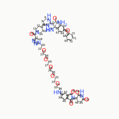 N=C(/C(C(N)=O)=C1/NCC[C@@H](C2CCN(C(=O)c3cn(CCOCCOCCOCCOCCOCCNc4ccc5c(c4)C(=O)N(C4CCC(=O)NC4=O)C5=O)nn3)CC2)N1)c1ccc(Oc2ccccc2)cc1